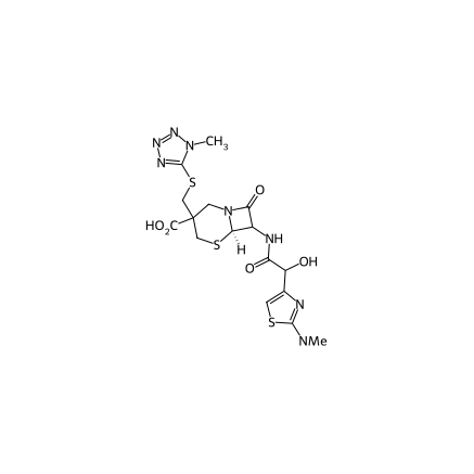 CNc1nc(C(O)C(=O)NC2C(=O)N3CC(CSc4nnnn4C)(C(=O)O)CS[C@H]23)cs1